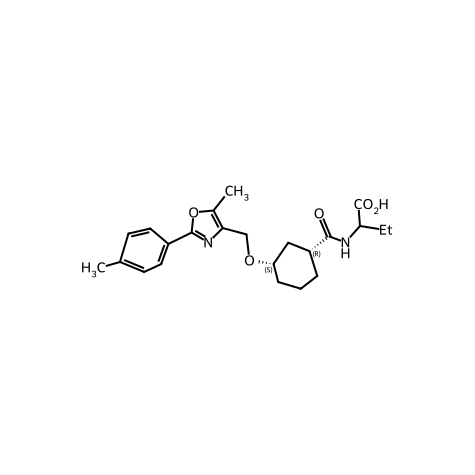 CCC(NC(=O)[C@@H]1CCC[C@H](OCc2nc(-c3ccc(C)cc3)oc2C)C1)C(=O)O